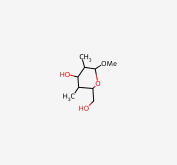 COC1OC(CO)C(C)C(O)C1C